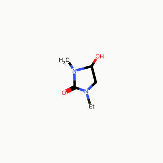 CCN1CC(O)N(C)C1=O